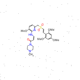 COc1cc(OC)c(/C=C/S(=O)(=O)Cc2ccc(OC)c(N/C=C\C(=O)N3CCN(C)CC3)n2)c(OC)c1